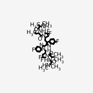 CCC(NC(=O)C(C)NC)C(=O)N1CC(F)(F)CC1Cc1c(-c2nc3cc(F)ccc3n2CC2CC(F)(F)CN2C(=O)C(NC(=O)C(C)NC)C(C)C)[nH]c2cc(F)ccc12